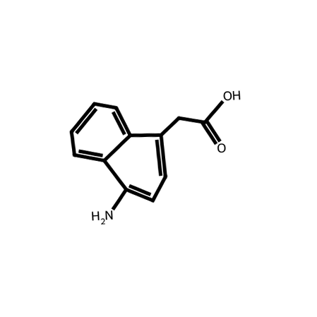 Nc1ccc(CC(=O)O)c2ccccc12